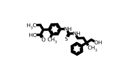 CCC(C(=O)O)c1ccc(NC(=S)NCCC(C)(CO)c2ccccc2)cc1C